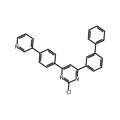 Clc1nc(-c2ccc(-c3cccnc3)cc2)cc(-c2cccc(-c3ccccc3)c2)n1